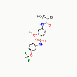 CCOc1cc(NC(=O)C(CC)C(=O)O)ccc1S(=O)(=O)Nc1cccc(OC(C)(F)F)c1